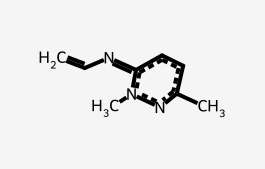 C=C/N=c1/ccc(C)nn1C